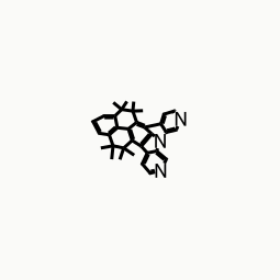 CC1(C)c2cccc3c2-c2c(c4c5ccncc5n5c6cnccc6c(c2C(C)(C)C3(C)C)c45)C1(C)C